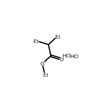 CCOC(=O)C(CC)CC.Cl.Cl